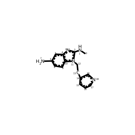 CNc1nc2cc(N)ccc2n1CCc1cccnc1